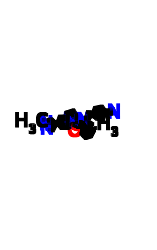 Cc1ccccc1C(NCCc1ccc(C#N)cc1)C(=O)N1CCCc2cc(-c3cnn(C)c3)ccc21